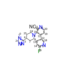 Cn1cnnc1C1CCN(c2c(-c3ccc(F)nc3)ccnc2C#N)CC1